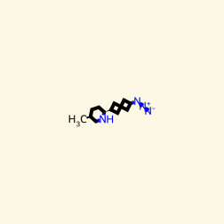 C[C@H]1CC[C@H](C2CC3(CC(N=[N+]=[N-])C3)C2)NC1